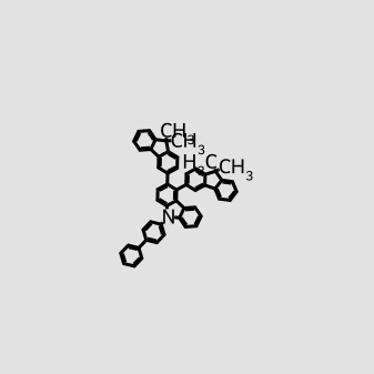 CC1(C)c2ccccc2-c2cc(-c3ccc4c(c3-c3ccc5c(c3)-c3ccccc3C5(C)C)c3ccccc3n4-c3ccc(-c4ccccc4)cc3)ccc21